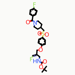 CC(C)(C)OC(=O)NC/C(=C\F)COc1ccc(S(=O)(=O)CC2CCN(C(=O)c3ccc(F)cc3)CC2)cc1